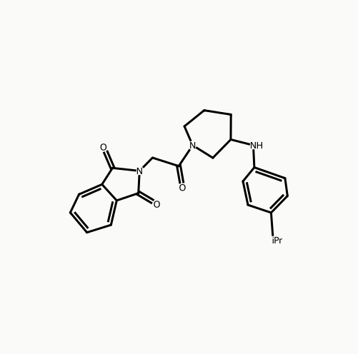 CC(C)c1ccc(NC2CCCN(C(=O)CN3C(=O)c4ccccc4C3=O)C2)cc1